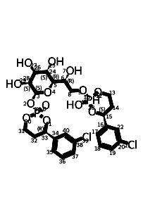 O=[P@@]1(O[C@@H]2O[C@H]([C@H](O)CO[PH]3(O)OCC[C@@H](c4cccc(Cl)c4)O3)[C@@H](O)[C@H](O)[C@@H]2O)OCC[C@H](c2cccc(Cl)c2)O1